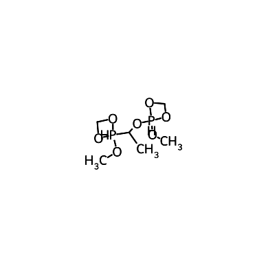 CO[PH]1(OC(C)[PH]2(OC)OCO2)OCO1